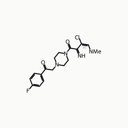 CN/C=C(/Cl)C(=N)C(=O)N1CCN(CC(=O)c2ccc(F)cc2)CC1